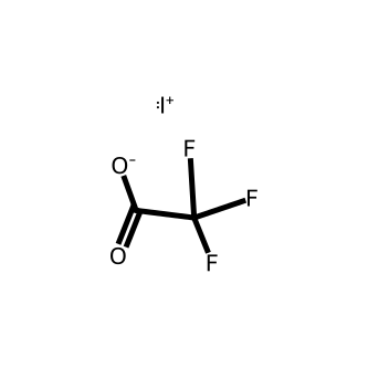 O=C([O-])C(F)(F)F.[I+]